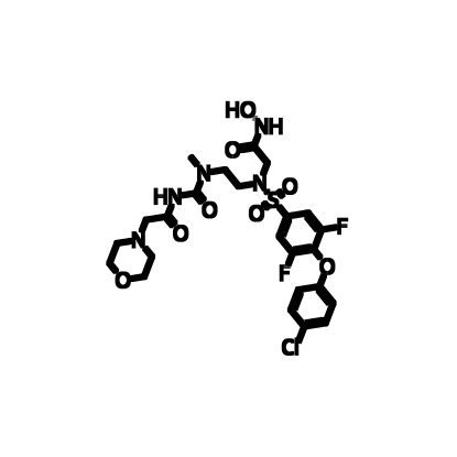 CN(CCN(CC(=O)NO)S(=O)(=O)c1cc(F)c(Oc2ccc(Cl)cc2)c(F)c1)C(=O)NC(=O)CN1CCOCC1